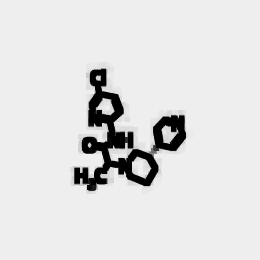 CC(C(=O)Nc1ccc(Cl)cn1)N1CCC[C@@H](c2ccncc2)C1